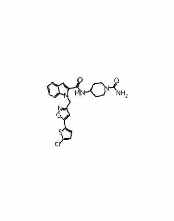 NC(=O)N1CCC(NC(=O)c2cc3ccccc3n2Cc2cc(-c3ccc(Cl)s3)on2)CC1